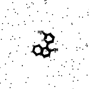 Nc1cccc(-c2c(O)ccc3c2CCCC3)n1